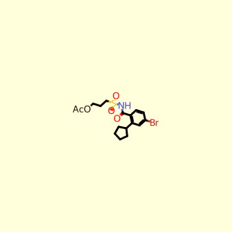 CC(=O)OCCCS(=O)(=O)NC(=O)c1ccc(Br)cc1C1CCCC1